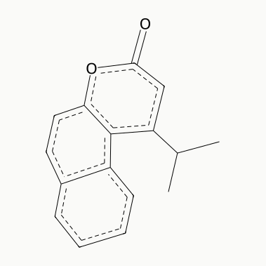 CC(C)c1cc(=O)oc2ccc3ccccc3c12